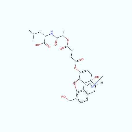 CC(C)C[C@H](NC(=O)[C@H](C)OC(=O)CCC(=O)OC1=CC[C@@]2(O)[C@H]3Cc4ccc(CO)c5c4[C@@]2(CCN3C)[C@H]1O5)C(=O)O